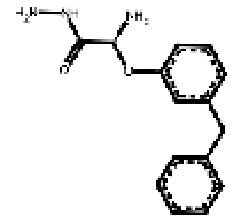 NNC(=O)[C@@H](N)Oc1cccc(Cc2ccccc2)c1